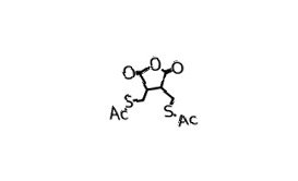 CC(=O)SCC1C(=O)OC(=O)C1CSC(C)=O